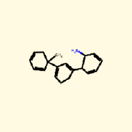 CC1(C2=CCCC(C3C=CC=CC3N)=C2)C=CC=CC1